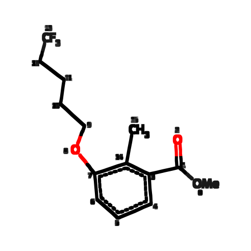 COC(=O)c1cccc(OCCCCC(F)(F)F)c1C